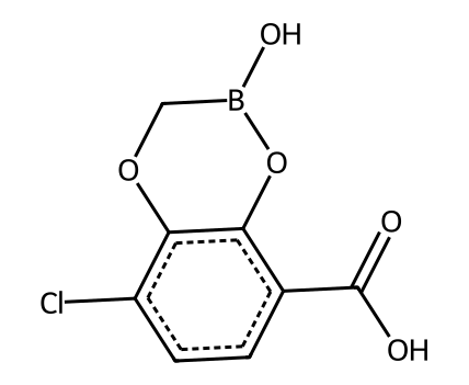 O=C(O)c1ccc(Cl)c2c1OB(O)CO2